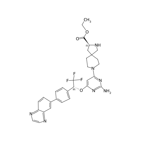 CCOC(=O)[C@@H]1CC2(CCN(c3cc(O[C@H](c4ccc(-c5ccc6nccnc6c5)cc4)C(F)(F)F)nc(N)n3)CC2)CN1